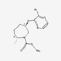 C[C@@H]1CC[C@@H](Oc2ncccc2Br)CN1C(=O)OC(C)(C)C